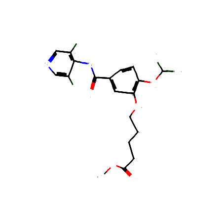 CCCOC(=O)CCCCOc1cc(C(=O)Nc2c(Cl)cncc2Cl)ccc1OC(F)F